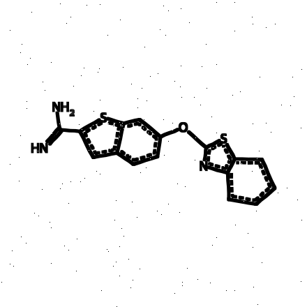 N=C(N)c1cc2ccc(Oc3nc4ccccc4s3)cc2s1